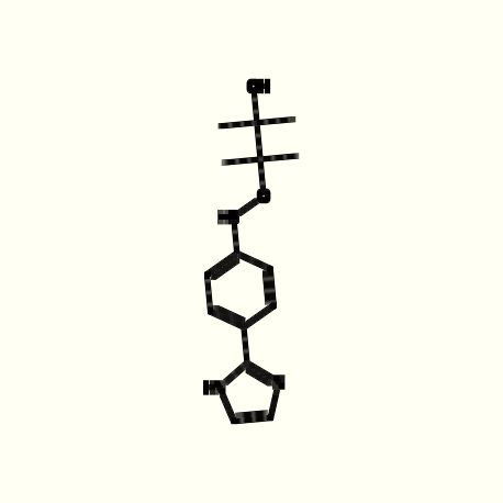 CC(C)(O)C(C)(C)OBc1ccc(-c2ncc[nH]2)cc1